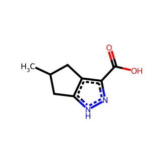 CC1Cc2[nH]nc(C(=O)O)c2C1